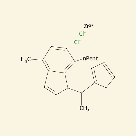 CCCCCc1ccc(C)c2c1C(C(C)C1=CC=CC1)C=C2.[Cl-].[Cl-].[Zr+2]